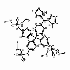 CCOP(=O)(O)Cc1ccc(C(c2ccc(CP(=O)(OCC)OCC)cc2)(c2ccc(CP(=O)(OCC)OCC)cc2)c2ccc(C(c3ccc[nH]3)c3ccc[nH]3)cc2)cc1